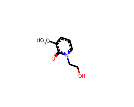 O=C(O)c1cccn(CCO)c1=O